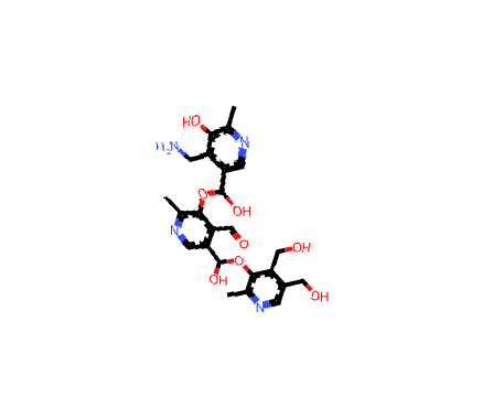 Cc1ncc(C(O)Oc2c(C)ncc(C(O)Oc3c(C)ncc(CO)c3CO)c2C=O)c(CN)c1O